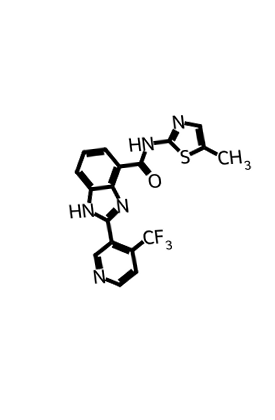 Cc1cnc(NC(=O)c2cccc3[nH]c(-c4cnccc4C(F)(F)F)nc23)s1